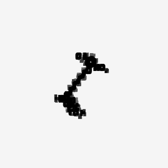 C[N+](C)(C)C([O-])[C@@H](CC(=O)O)OP(=O)(O)OCCCCCCCCOc1cc([N+](=O)[O-])ccc1[N+](=O)[O-]